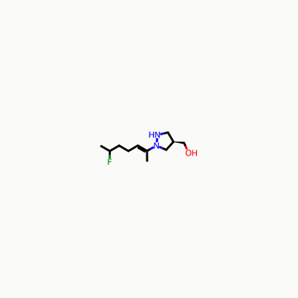 C/C(=C\CCC(C)F)N1C[C@H](CO)CN1